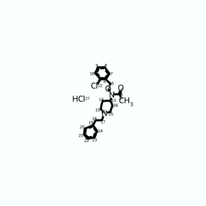 CC(=O)N(OCc1ccccc1Cl)C1CCN(CCc2ccccc2)CC1.Cl